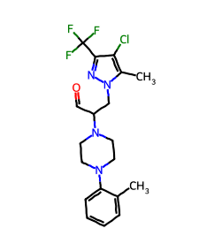 Cc1ccccc1N1CCN(C(C=O)Cn2nc(C(F)(F)F)c(Cl)c2C)CC1